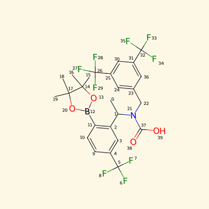 CC(c1cc(C(F)(F)F)ccc1B1OC(C)(C)C(C)(C)O1)N(Cc1cc(C(F)(F)F)cc(C(F)(F)F)c1)C(=O)O